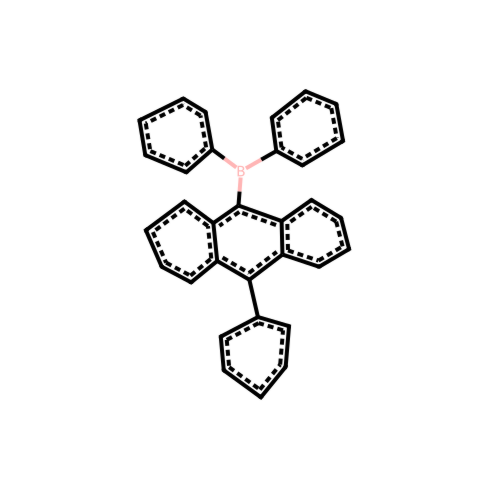 c1ccc(B(c2ccccc2)c2c3ccccc3c(-c3ccccc3)c3ccccc23)cc1